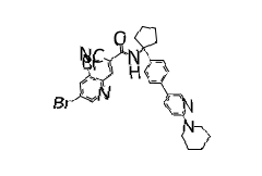 N#CC(=Cc1ncc(Br)cc1Br)C(=O)NC1(c2ccc(-c3ccc(N4CCCCC4)nc3)cc2)CCCC1